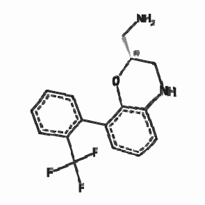 NC[C@@H]1CNc2cccc(-c3ccccc3C(F)(F)F)c2O1